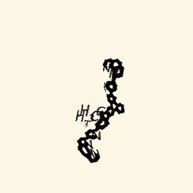 CC1(C)c2cc(-c3ccc(-c4ccc5ccc6cccnc6c5n4)cn3)ccc2-c2cc3c4ccccc4c4cc(-c5ccc(-c6ccc7ccc8cccnc8c7n6)cn5)ccc4c3cc21